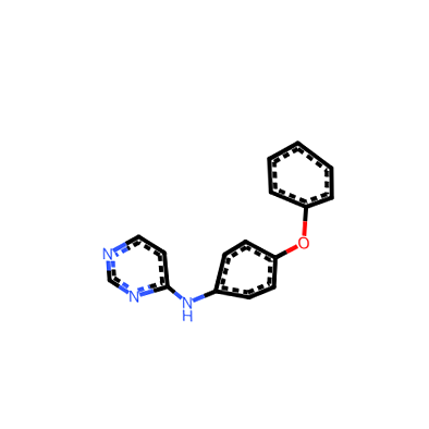 c1ccc(Oc2ccc(Nc3ccncn3)cc2)cc1